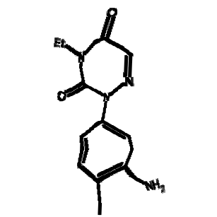 CCn1c(=O)cnn(-c2ccc(C)c(N)c2)c1=O